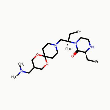 CC(C)C[C@@H]1NCCN([C@](C=O)(CC(C)C)CN2CCC3(CC2)OCC(CN(C)C)CO3)C1=O